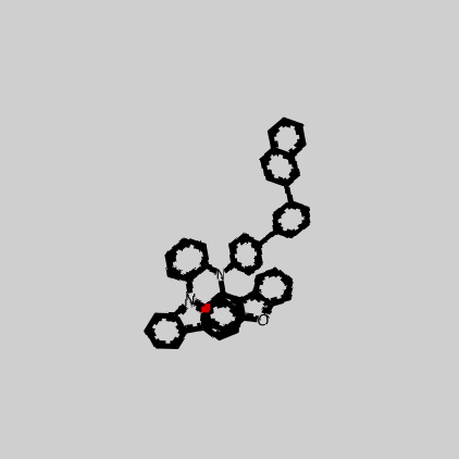 c1cc(-c2ccc(N(c3ccccc3-n3c4ccccc4c4ccccc43)c3cccc4oc5ccccc5c34)cc2)cc(-c2ccc3ccccc3c2)c1